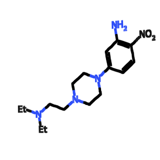 CCN(CC)CCN1CCN(c2ccc([N+](=O)[O-])c(N)c2)CC1